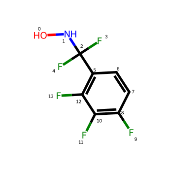 ONC(F)(F)c1ccc(F)c(F)c1F